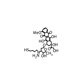 COc1cccc2c1C(=O)c1c(O)c3c(c(O)c1C2=O)C[C@@](O)(C(=O)CO)C[C@@H]3OC1CC(N(N)CCCCS)C(O)C(C)O1